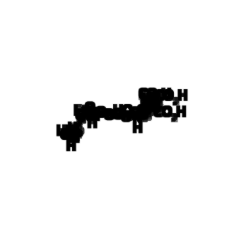 CC[C@@H](NC(=O)CCCC[C@@H]1SC[C@@H]2NC(=O)N[C@@H]21)C(=O)NCCOCCOCCOCCOCCC(=O)Nc1ccc(CC2CN(CC(=O)O)CCN(CC(=O)O)CCN(CC(=O)O)CCN2CC(=O)O)cc1